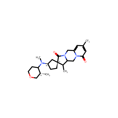 CC1C2Cn3c(cc(C(F)(F)F)cc3=O)CN2C(=O)[C@]12CC[C@@H](N(C)C1CCOC[C@H]1C)C2